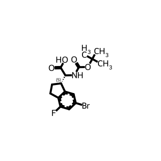 CC(C)(C)OC(=O)NC(C(=O)O)[C@H]1CCc2c(F)cc(Br)cc21